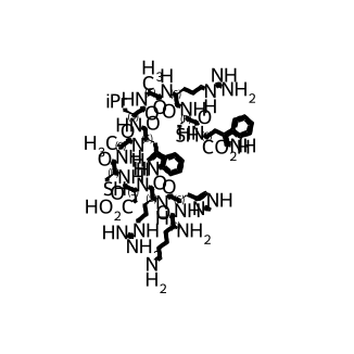 CC(C)C[C@H](NC(=O)[C@H](Cc1c[nH]c2ccccc12)NC(=O)[C@H](C)NC(=O)[C@H](CS)NC(=O)[C@H](CC(=O)O)NC(=O)[C@H](CCCNC(=N)N)NC(=O)[C@H](Cc1c[nH]cn1)NC(=O)[C@@H](N)CCCCN)C(=O)N[C@@H](C)C(=O)N[C@@H](CCCNC(=N)N)C(=O)N[C@@H](CS)C(=O)N[C@@H](Cc1c[nH]c2ccccc12)C(=O)O